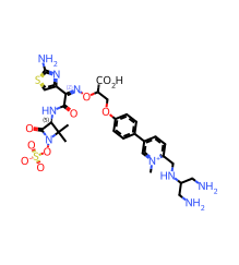 C[n+]1cc(-c2ccc(OCC(O/N=C(\C(=O)N[C@@H]3C(=O)N(OS(=O)(=O)[O-])C3(C)C)c3csc(N)n3)C(=O)O)cc2)ccc1CNC(CN)CN